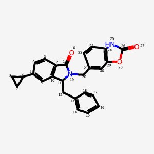 O=C1c2ccc(C3CC3)cc2C(Cc2ccccc2)N1Cc1ccc2[nH]c(=O)oc2c1